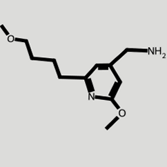 COCCCCc1cc(CN)cc(OC)n1